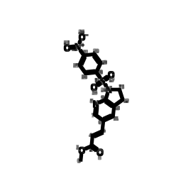 COC(=O)/C=C/c1cnc2c(c1)CCN2S(=O)(=O)c1ccc([N+](=O)[O-])cc1